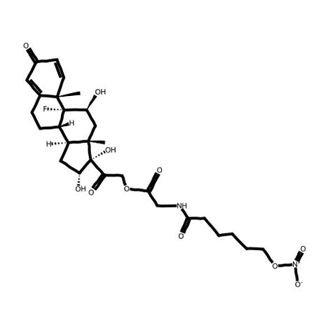 C[C@]12C=CC(=O)C=C1CC[C@H]1[C@@H]3C[C@@H](O)[C@](O)(C(=O)COC(=O)CNC(=O)CCCCCO[N+](=O)[O-])[C@@]3(C)C[C@H](O)[C@@]12F